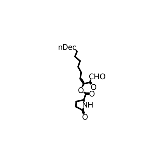 CCCCCCCCCCCCCCCC=C(OC(=O)C1CCC(=O)N1)C(=O)C=O